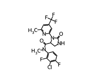 Cc1cc(C(F)(F)F)cc(N2C(=O)NCC2C(=O)N(C)c2ccc(F)c(Cl)c2F)n1